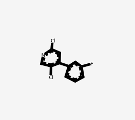 Fc1cccc(-c2cc(Cl)ncc2Cl)c1